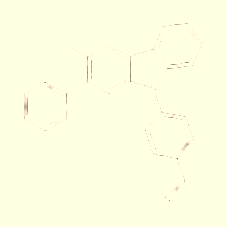 N=Cc1ccc(-n2c3ccccc3c3cc(O)c(-c4ccccc4)cc32)cc1